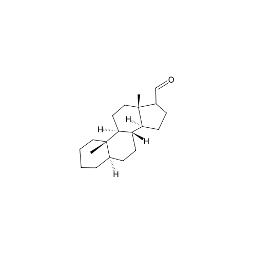 C[C@]12CCCC[C@@H]1CC[C@@H]1[C@@H]2CC[C@]2(C)C(C=O)CC[C@@H]12